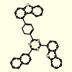 C1=C(c2nc(-c3ccc4ccccc4c3)nc(-c3cccc4c3sc3ccccc34)n2)CCC(c2cccc3oc4ccccc4c23)=C1